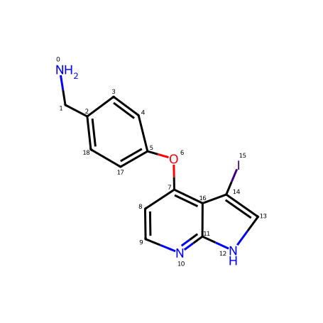 NCc1ccc(Oc2ccnc3[nH]cc(I)c23)cc1